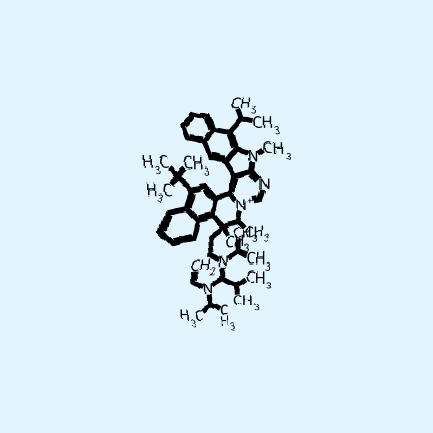 C=CN(C(C)C)C(C(C)C)N(CCC1(C)c2c(cc(C(C)(C)C)c3ccccc23)-c2c3c4cc5ccccc5c(C(C)C)c4n(C)c3nc[n+]2C1C)C(C)C